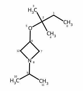 CCC(C)(C)OC1CN(C(C)C)C1